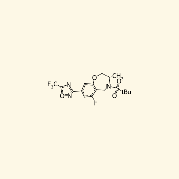 C[C@H]1COc2cc(-c3noc(C(F)(F)F)n3)cc(F)c2CN1S(=O)(=O)C(C)(C)C